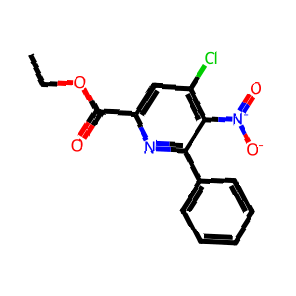 CCOC(=O)c1cc(Cl)c([N+](=O)[O-])c(-c2ccccc2)n1